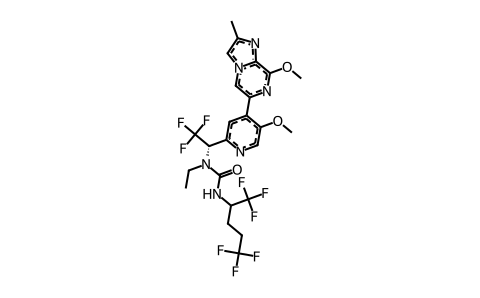 CCN(C(=O)NC(CCC(F)(F)F)C(F)(F)F)[C@@H](c1cc(-c2cn3cc(C)nc3c(OC)n2)c(OC)cn1)C(F)(F)F